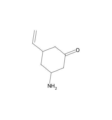 C=CC1CC(=O)CC(N)C1